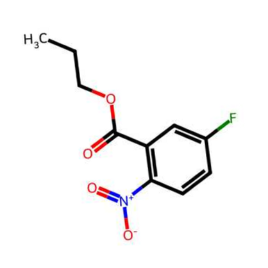 CCCOC(=O)c1cc(F)ccc1[N+](=O)[O-]